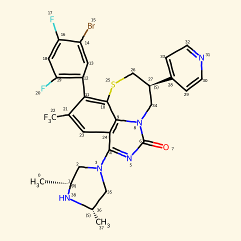 C[C@@H]1CN(c2nc(=O)n3c4c(c(-c5cc(Br)c(F)cc5F)c(C(F)(F)F)cc24)SC[C@@H](c2ccncc2)C3)C[C@H](C)N1